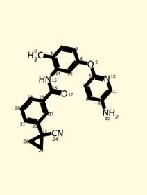 Cc1ccc(Oc2ccc(N)cn2)cc1NC(=O)c1cccc(C2(C#N)CC2)c1